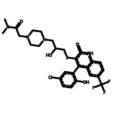 CN(C)C(=O)CN1CCN(CC(O)CSc2c(-c3cc(Cl)ccc3O)c3cc(C(F)(F)F)ccc3[nH]c2=O)CC1